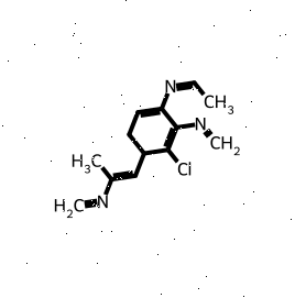 C=NC1=C(Cl)C(/C=C(\C)N=C)CC=C1/N=C\C